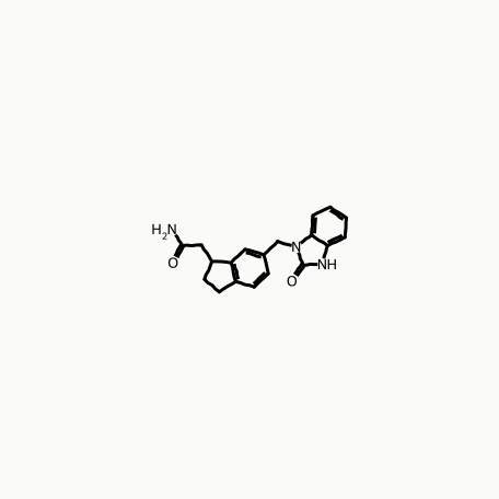 NC(=O)CC1CCc2ccc(Cn3c(=O)[nH]c4ccccc43)cc21